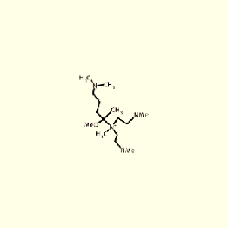 CNCC[N+](C)(CCNC)C(C)(CCCN(C)C)OC